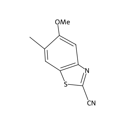 COc1cc2nc(C#N)sc2cc1C